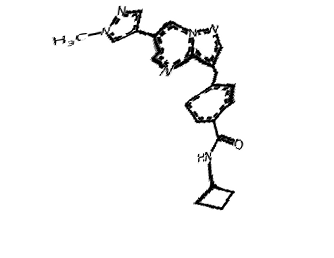 Cn1cc(-c2cnc3c(-c4ccc(C(=O)NC5CCC5)cc4)cnn3c2)cn1